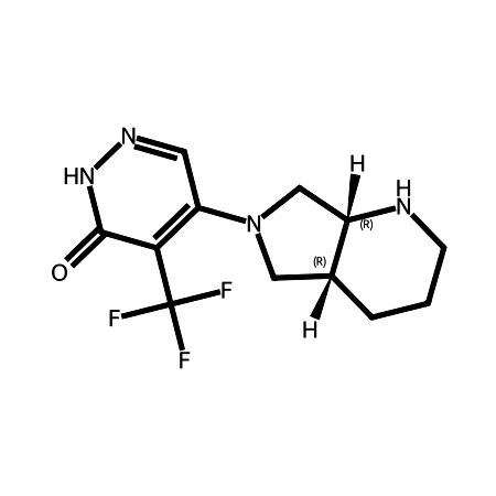 O=c1[nH]ncc(N2C[C@H]3CCCN[C@H]3C2)c1C(F)(F)F